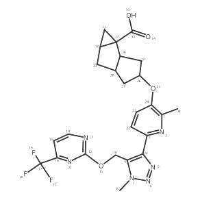 Cc1nc(-c2nnn(C)c2COc2nccc(C(F)(F)F)n2)ccc1OC1CC2CC3CC3(C(=O)O)C2C1